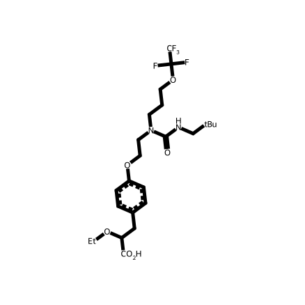 CCOC(Cc1ccc(OCCN(CCCOC(F)(F)C(F)(F)F)C(=O)NCC(C)(C)C)cc1)C(=O)O